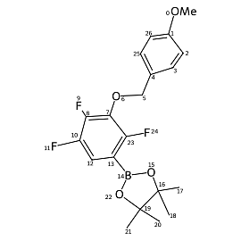 COc1ccc(COc2c(F)c(F)cc(B3OC(C)(C)C(C)(C)O3)c2F)cc1